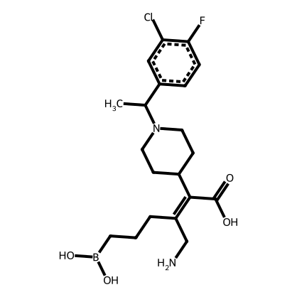 CC(c1ccc(F)c(Cl)c1)N1CCC(/C(C(=O)O)=C(/CN)CCCB(O)O)CC1